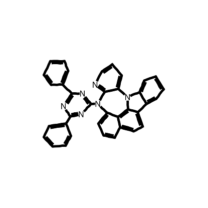 c1ccc(-c2nc(-c3ccccc3)nc(-n3c4cccc5ccc6c7ccccc7n(c7cccnc73)c6c54)n2)cc1